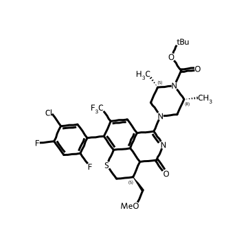 COC[C@H]1CSc2c(-c3cc(Cl)c(F)cc3F)c(C(F)(F)F)cc3c2C1C(=O)N=C3N1C[C@@H](C)N(C(=O)OC(C)(C)C)[C@@H](C)C1